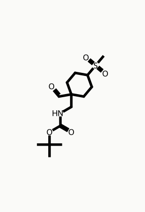 CC(C)(C)OC(=O)NCC1(C=O)CCC(S(C)(=O)=O)CC1